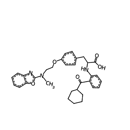 CN(CCOc1ccc(CC(Nc2ccccc2C(=O)C2CCCCC2)C(=O)O)cc1)c1nc2ccccc2o1